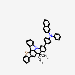 CC1(C)c2ccc(-c3ccc(N(c4ccccc4)c4ccc5ccccc5c4)cc3)cc2-n2c3ccccc3c3c4sc5ccccc5c4cc1c32